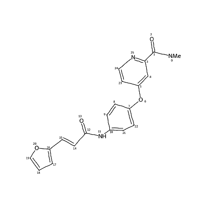 CNC(=O)c1cc(Oc2ccc(NC(=O)C=Cc3ccco3)cc2)ccn1